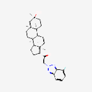 C[C@@]1(O)CC[C@@]2(C)[C@H](CC[C@@H]3[C@@H]2CC[C@]2(C)[C@@H](C(=O)Cn4nc5cccc(F)c5n4)CC[C@@H]32)C1